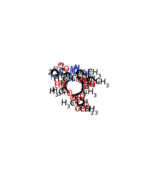 CC[C@H]1OC(=O)[C@H](C)[C@@H](O[C@H]2C[C@@](C)(OC)[C@@H](O)[C@H](C)O2)[C@H](C)[C@@H](O[C@@H]2O[C@H](C)C[C@H](N(C)CCc3cn(C[C@H]4CN(c5cccnc5)C(=O)O4)nn3)[C@H]2O)[C@](C)(O)C[C@@H](C)CN(C)[C@H](C)[C@@H](O)[C@]1(C)O